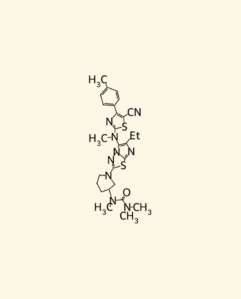 CCc1nc2sc(N3CCCC(N(C)C(=O)N(C)C)C3)nn2c1N(C)c1nc(-c2ccc(C)cc2)c(C#N)s1